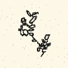 CC(C)CC(NC(=O)C(O)C(N)Cc1ccccc1)C(=O)NCCOCCOc1cc2c(cc1Oc1ccc(-c3ccc(C(=O)O)cc3)c(F)c1)[C@@](C)(CC(=O)Nc1nccs1)NCC2